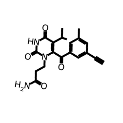 C#Cc1cc(C)cc(C(=O)c2c(C(C)C)c(=O)[nH]c(=O)n2CCC(N)=O)c1